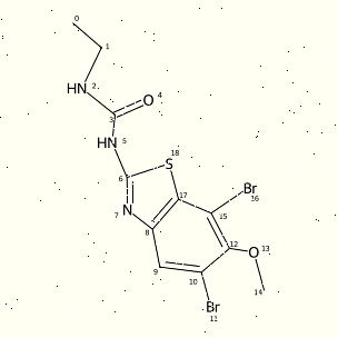 CCNC(=O)Nc1nc2cc(Br)c(OC)c(Br)c2s1